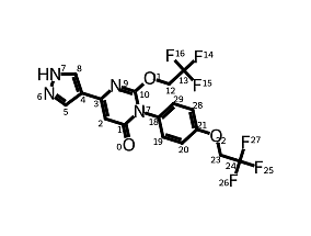 O=c1cc(-c2cn[nH]c2)nc(OCC(F)(F)F)n1-c1ccc(OCC(F)(F)F)cc1